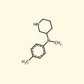 Cc1ccc(N(C)C2CCCNC2)cc1